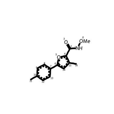 CONC(=O)c1oc(-c2ccc(C)cc2)cc1C